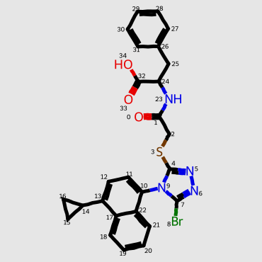 O=C(CSc1nnc(Br)n1-c1ccc(C2CC2)c2ccccc12)NC(Cc1ccccc1)C(=O)O